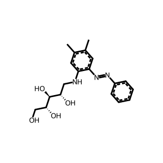 Cc1cc(N=Nc2ccccc2)c(NC[C@H](O)[C@H](O)[C@H](O)CO)cc1C